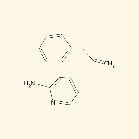 C=CCc1ccccc1.Nc1ccccn1